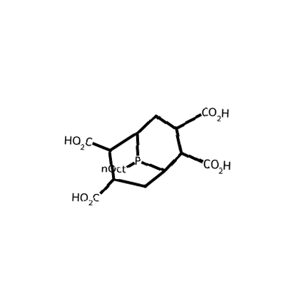 CCCCCCCCP1C2CC(C(=O)O)C(C(=O)O)C1CC(C(=O)O)C2C(=O)O